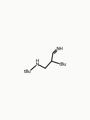 CC(C)(C)NCC(C=N)C(C)(C)C